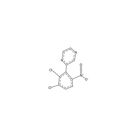 O=[N+]([O-])c1ccc(Cl)c(Cl)c1-c1cnccn1